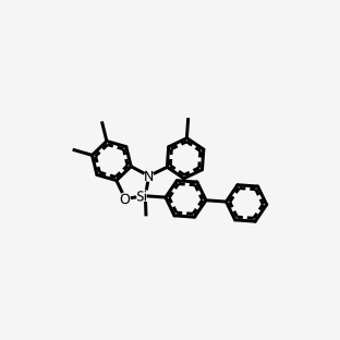 Cc1cccc(N2c3cc(C)c(C)cc3O[Si]2(C)c2ccc(-c3ccccc3)cc2)c1